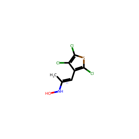 C/C(=C\c1c(Cl)sc(Cl)c1Cl)NO